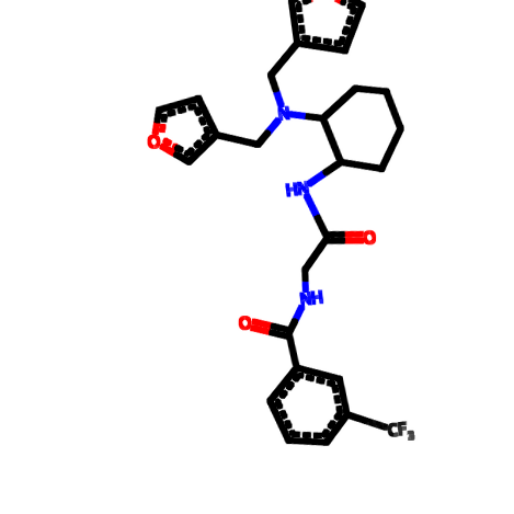 O=C(CNC(=O)c1cccc(C(F)(F)F)c1)NC1CCCCC1N(Cc1ccoc1)Cc1ccoc1